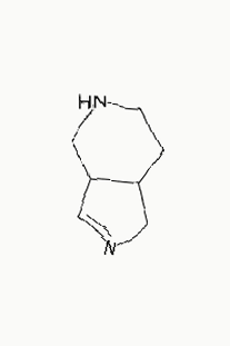 C1=NCC2CCNCC12